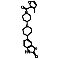 Cc1ccoc1C(=O)N1CCC(N2CCC(c3ccc4c(c3)[N]C(=O)N4)CC2)CC1